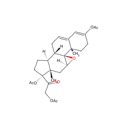 CC(=O)OCC(=O)[C@@]1(OC(C)=O)CC[C@H]2[C@@H]3CC=C4C=C(OC(C)=O)CC[C@]4(C)[C@@]34O[C@H]4C[C@@]21C